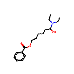 CCN(CC)C(O)CCCCCOC(=O)c1ccccc1